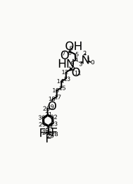 CN(C)C[C@@H](CC(=O)O)NC(=O)CCCCCCCOCc1ccc(C(F)(F)F)cc1